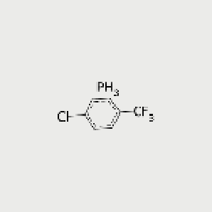 FC(F)(F)c1ccc(Cl)cc1.P